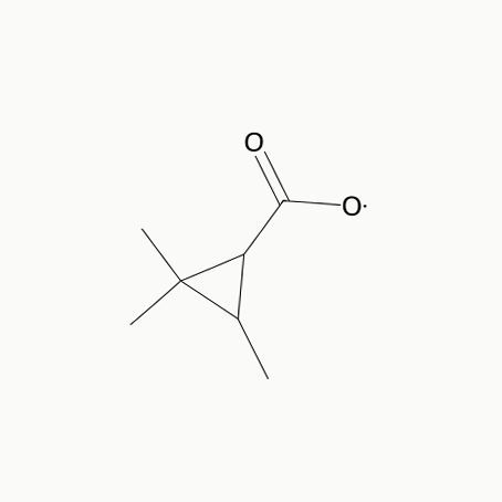 CC1C(C([O])=O)C1(C)C